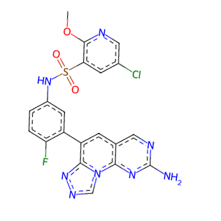 COc1ncc(Cl)cc1S(=O)(=O)Nc1ccc(F)c(-c2cc3cnc(N)nc3n3cnnc23)c1